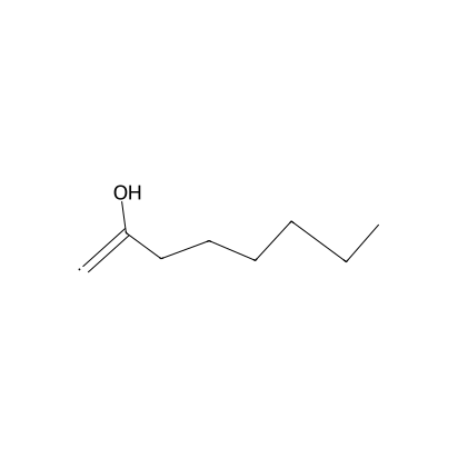 [CH]=C(O)CCCCCC